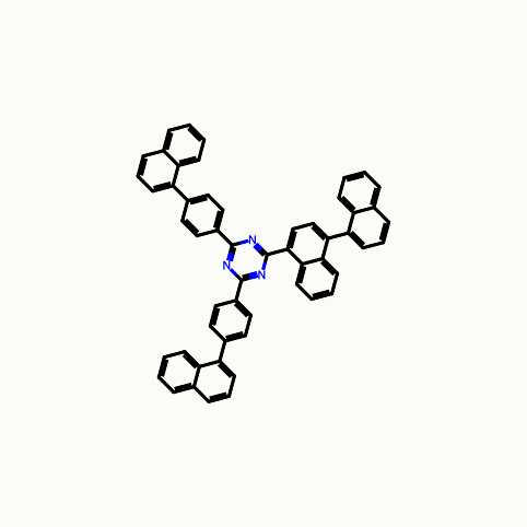 c1ccc2c(-c3ccc(-c4nc(-c5ccc(-c6cccc7ccccc67)cc5)nc(-c5ccc(-c6cccc7ccccc67)c6ccccc56)n4)cc3)cccc2c1